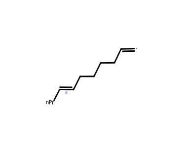 [CH]=CCCCC/C=C/CCC